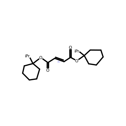 CC(C)C1(OC(=O)/C=C/C(=O)OC2(C(C)C)CCCCC2)CCCCC1